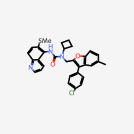 CSc1ccc2ncccc2c1NC(=O)N(Cc1oc2ccc(C)cc2c1-c1ccc(Cl)cc1)C1CCC1